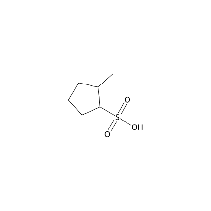 CC1CCCC1S(=O)(=O)O